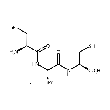 CC(C)C[C@H](N)C(=O)N[C@H](C(=O)N[C@@H](CS)C(=O)O)C(C)C